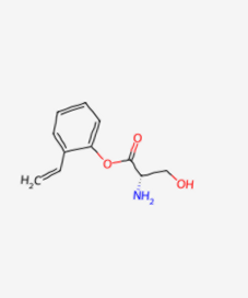 C=Cc1ccccc1OC(=O)[C@@H](N)CO